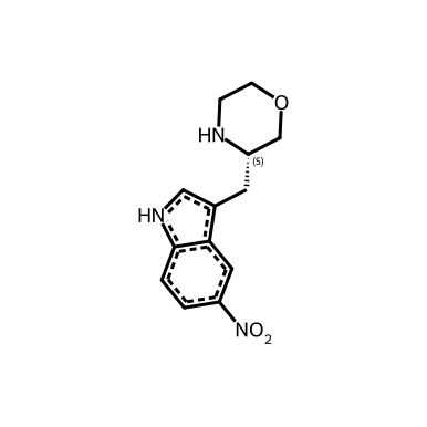 O=[N+]([O-])c1ccc2[nH]cc(C[C@H]3COCCN3)c2c1